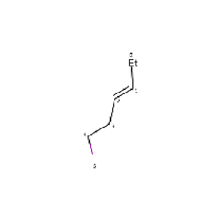 CCC=CCCI